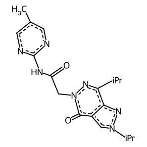 Cc1cnc(NC(=O)Cn2nc(C(C)C)c3nn(C(C)C)cc3c2=O)nc1